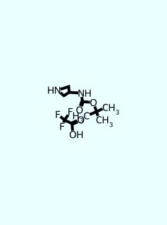 CC(C)(C)OC(=O)NC1CNC1.O=C(O)C(F)(F)F